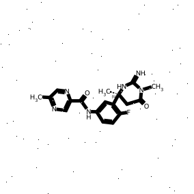 Cc1cnc(C(=O)Nc2ccc(F)c([C@]3(C)CC(=O)N(C)C(=N)N3)c2)cn1